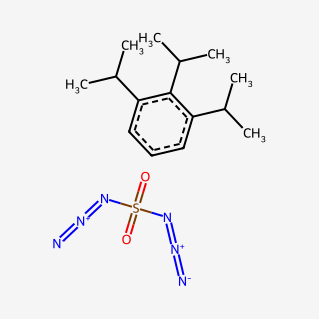 CC(C)c1cccc(C(C)C)c1C(C)C.[N-]=[N+]=NS(=O)(=O)N=[N+]=[N-]